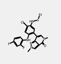 CCSNc1cc(-c2cn(C)c(=O)c3cn(C)nc23)c(Nc2ccc(F)cc2F)cc1Cl